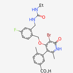 CCNC(=O)NCc1cc(F)ccc1COc1c(-c2cc(C(=O)O)ccc2C)c(C)[nH]c(=O)c1Br